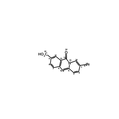 CC(C)c1ccc2nc3ccc(C(=O)O)cc3c(=O)n2c1